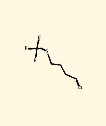 FC(F)(F)SCCCCCl